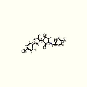 Cc1sc(-c2ccc(Cl)cc2)nc1C1C(=O)C/C(=C\c2ccc(F)cn2)C1=O